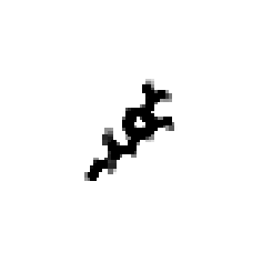 CCOC(=O)Cc1ccc(C(C)C)c(C)c1